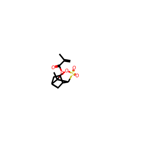 C=C(C)C(=O)OC1(C)C2CC3OS(=O)(=O)C1C3C2